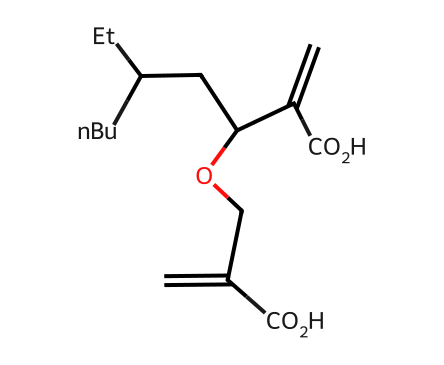 C=C(COC(CC(CC)CCCC)C(=C)C(=O)O)C(=O)O